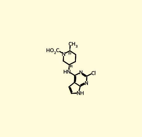 C[C@H]1CC[C@@H](Nc2nc(Cl)nc3[nH]ccc23)CN1C(=O)O